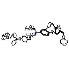 CC(C)(C)OC(=O)N1CCC(CN/C=C(\C=N)c2ccc3c(c2)OCc2nc(CN4CCOCC4)cn2-3)CC1